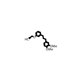 C#CCOc1cccc(CCCc2ccc(OC)c(OC)c2)c1